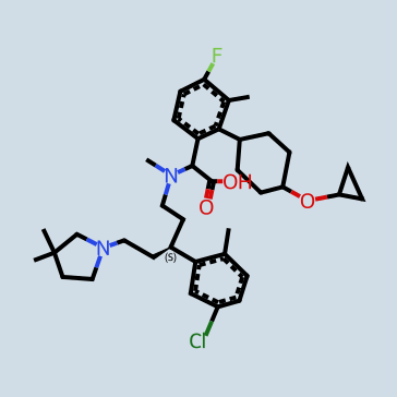 Cc1ccc(Cl)cc1[C@@H](CCN1CCC(C)(C)C1)CCN(C)C(C(=O)O)c1ccc(F)c(C)c1C1CCC(OC2CC2)CC1